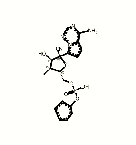 C[C@H]1[C@@H](O)[C@](C#N)(c2ccc3c(N)ncnn23)O[C@@H]1COP(=O)(O)Oc1ccccc1